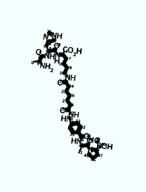 C[C@H](N)C(=O)N[C@@H](CC1CNC=N1)C(=O)N[C@@H](CCCCNC(=O)CCCCCC(=O)NNc1ccc(C(=O)N[C@H](C)C(=O)N2CCC[C@H]2B(O)O)cc1)C(=O)O